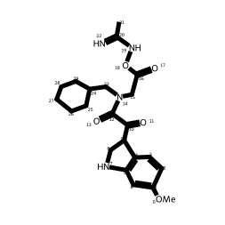 COc1ccc2c(c1)NCC2C(=O)C(=O)N(CC(=O)ONC(C)=N)CC1CCCCC1